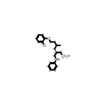 CC(CCOc1ccccc1Cl)C[C@H](CNc1ccccc1)CC(=O)O